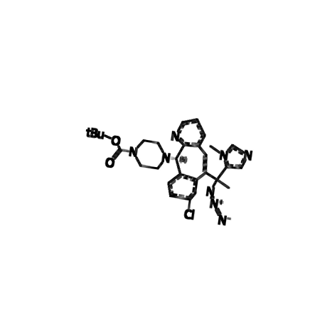 Cn1cncc1C(C)(N=[N+]=[N-])C1=Cc2cccnc2[C@@H](N2CCN(C(=O)OC(C)(C)C)CC2)c2ccc(Cl)cc21